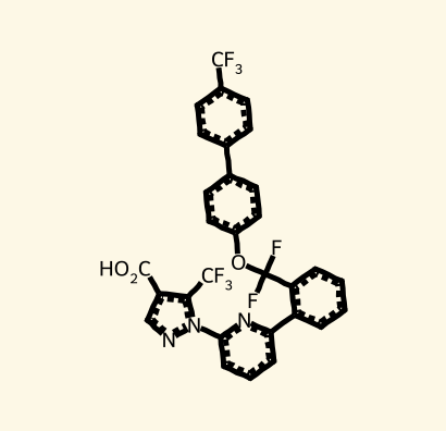 O=C(O)c1cnn(-c2cccc(-c3ccccc3C(F)(F)Oc3ccc(-c4ccc(C(F)(F)F)cc4)cc3)n2)c1C(F)(F)F